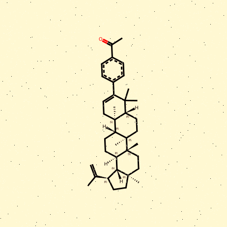 C=C(C)[C@@H]1CC[C@]2(C)CC[C@]3(C)[C@H](CC[C@@H]4[C@@]5(C)CC=C(c6ccc(C(C)=O)cc6)C(C)(C)[C@@H]5CC[C@]43C)[C@@H]12